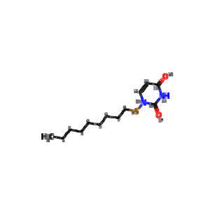 CCCCCCCCCSn1ccc(=O)[nH]c1=O